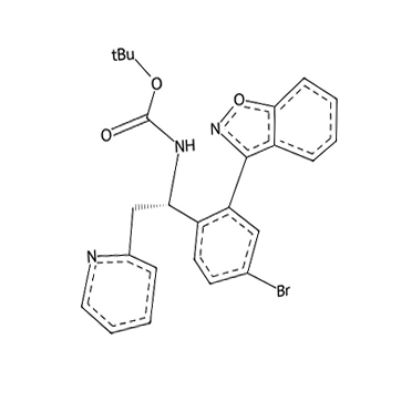 CC(C)(C)OC(=O)N[C@@H](Cc1ccccn1)c1ccc(Br)cc1-c1noc2ccccc12